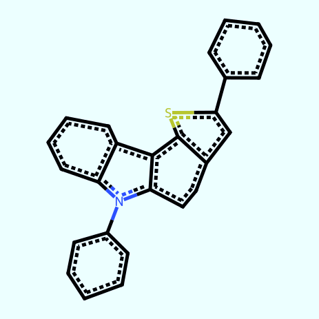 c1ccc(-c2cc3ccc4c(c5ccccc5n4-c4ccccc4)c3s2)cc1